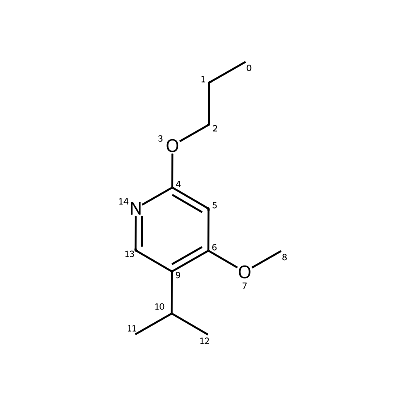 CCCOc1cc(OC)c(C(C)C)cn1